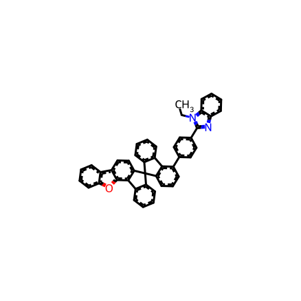 CCn1c(-c2ccc(-c3cccc4c3-c3ccccc3C43c4ccccc4-c4c3ccc3c4oc4ccccc43)cc2)nc2ccccc21